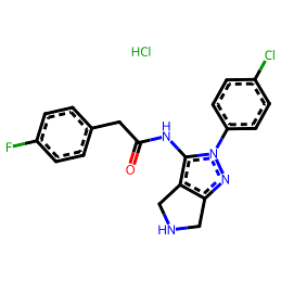 Cl.O=C(Cc1ccc(F)cc1)Nc1c2c(nn1-c1ccc(Cl)cc1)CNC2